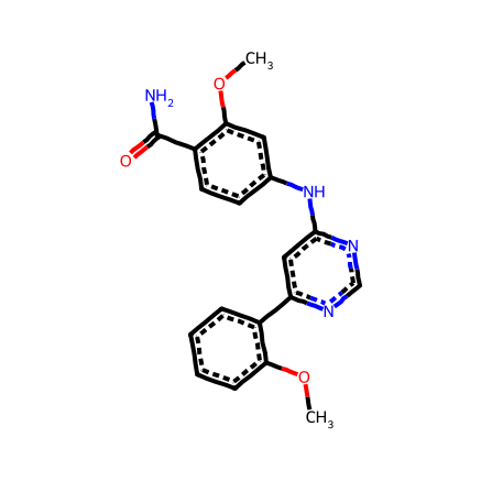 COc1cc(Nc2cc(-c3ccccc3OC)ncn2)ccc1C(N)=O